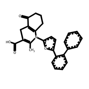 CC1=C(C(=O)O)CC2=C(CCCC2=O)N1c1ccc(-c2ccccc2-c2ccccc2)o1